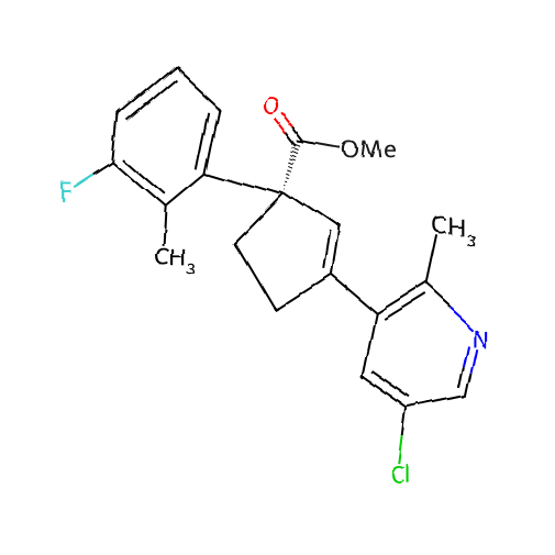 COC(=O)[C@]1(c2cccc(F)c2C)C=C(c2cc(Cl)cnc2C)CC1